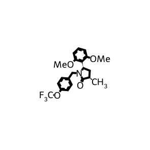 COc1cccc(OC)c1[C@@H]1C[C@H](C)C(=O)N1Cc1ccc(OC(F)(F)F)cc1